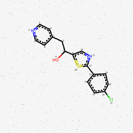 OC(Cc1ccncc1)c1cnc(-c2ccc(Cl)cc2)s1